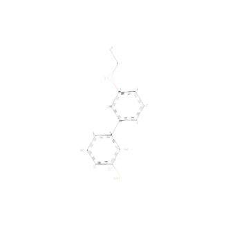 CCOc1cccc(-c2[c]ccc(F)c2)c1